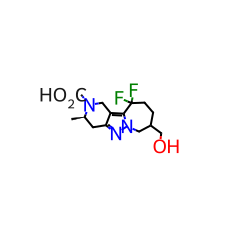 C[C@@H]1Cc2nn3c(c2CN1C(=O)O)C(F)(F)CCC(CO)C3